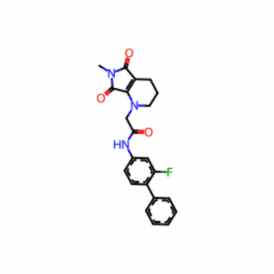 CN1C(=O)C2=C(C1=O)N(CC(=O)Nc1ccc(-c3ccccc3)c(F)c1)CCC2